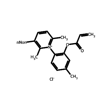 C=CC(=O)Oc1cc(C)ccc1-[n+]1c(C)ccc(CCCCCCCCC)c1C.[Cl-]